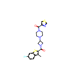 Cc1c(C(=O)N2CC(N3CCN(C(=O)c4cscn4)CC3)C2)sc2cc(F)ccc12